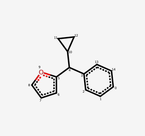 c1ccc(C(c2ccco2)C2CC2)cc1